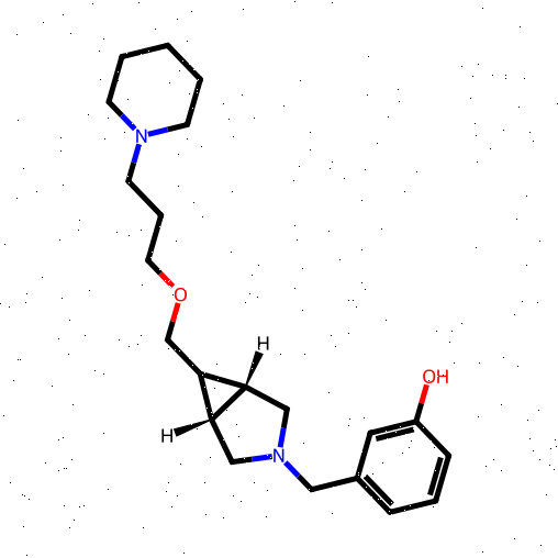 Oc1cccc(CN2C[C@@H]3C(COCCCN4CCCCC4)[C@@H]3C2)c1